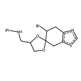 CC(C)NCC1COC2(Cc3scnc3CC2Br)O1